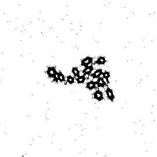 CN(c1ccc(-n2c3ccccc3c3c(-c4cc5c6ccccc6n(-c6ccccc6)c5cc4N(C)c4ccc(-c5cccc(CN(c6ccccc6)c6ccc7c8ccccc8n(-c8ccccc8)c7c6)c5)cc4)cccc32)cc1)c1ccc2c(c1)C(C)(C)c1ccccc1-2